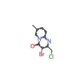 Cc1ccc2nc(CCl)c(Br)c(=O)n2c1